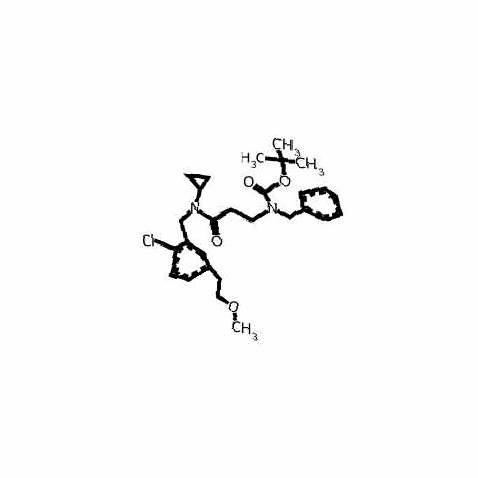 COCCc1ccc(Cl)c(CN(C(=O)CCN(Cc2ccccc2)C(=O)OC(C)(C)C)C2CC2)c1